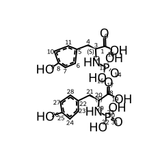 O=C(O)[C@H](Cc1ccc(O)cc1)NP(=O)(O)O.O=C(O)[C@H](Cc1ccc(O)cc1)NP(=O)(O)O